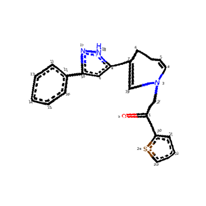 O=C(CN1C=CCC(c2cc(-c3ccccc3)n[nH]2)=C1)c1cccs1